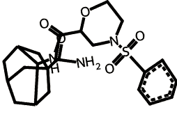 NC(=O)C12CC3CC(C1)C(NC(=O)C1CN(S(=O)(=O)c4ccccc4)CCO1)C(C3)C2